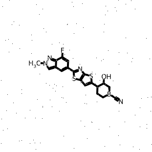 Cn1cc2cc(-c3nc4sc(C5CCB(C#N)CC5O)cc4s3)cc(F)c2n1